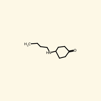 CCCCNC1CCC(=O)CC1